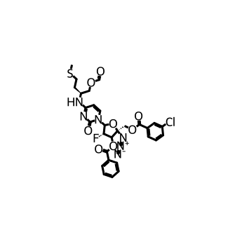 CSCC[C@@H](COC=O)Nc1ccn(C2O[C@@](COC(=O)c3cccc(Cl)c3)(N=[N+]=[N-])C(OC(=O)c3ccccc3)[C@@H]2F)c(=O)n1